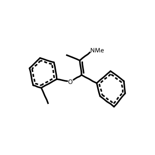 CNC(C)=C(Oc1ccccc1C)c1ccccc1